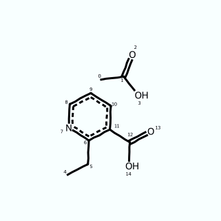 CC(=O)O.CCc1ncccc1C(=O)O